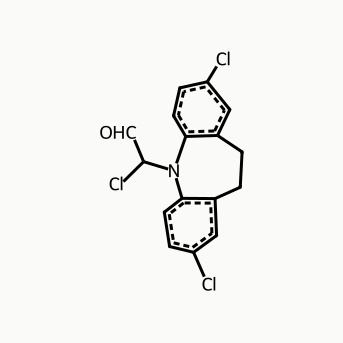 O=CC(Cl)N1c2ccc(Cl)cc2CCc2cc(Cl)ccc21